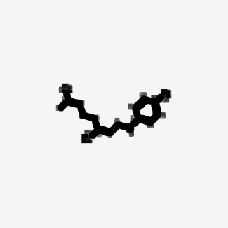 CCC(C)=CCCC(=CCOc1ccc(CC)cc1)CC